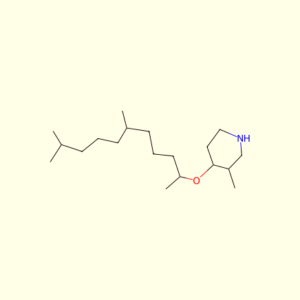 CC(C)CCCC(C)CCCC(C)OC1CCNCC1C